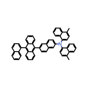 Cc1ccc(N(c2ccc3cc(-c4c5ccccc5c(-c5cccc6ccccc56)c5ccccc45)ccc3c2)c2ccc(C)c3ccccc23)c2ccccc12